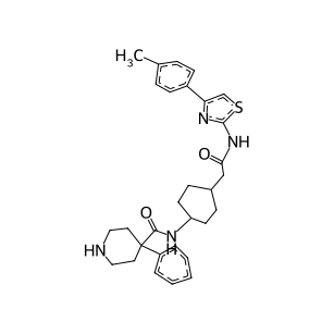 Cc1ccc(-c2csc(NC(=O)CC3CCC(NC(=O)C4(c5ccccc5)CCNCC4)CC3)n2)cc1